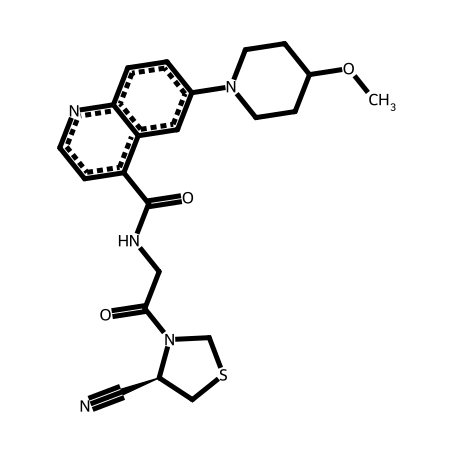 COC1CCN(c2ccc3nccc(C(=O)NCC(=O)N4CSC[C@H]4C#N)c3c2)CC1